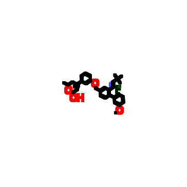 CCC[C@H](CC(=O)O)c1cccc(OCc2ccc(-c3cc(OC)ccc3F)c(/C=C/C(C)(C)C)c2)c1